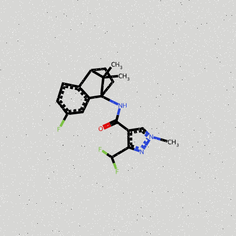 Cn1cc(C(=O)NC23CCC(c4ccc(F)cc42)C3(C)C)c(C(F)F)n1